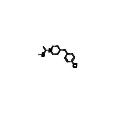 CSC(C)N1CCC(Cc2ccc(Cl)cc2)CC1